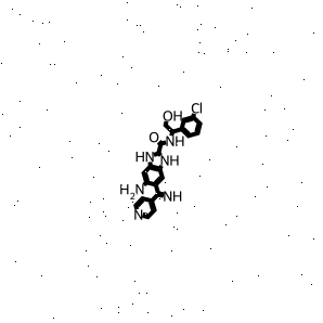 N=C(c1ccncc1)c1cc2c(cc1N)NC(C(=O)NC(CO)c1cccc(Cl)c1)N2